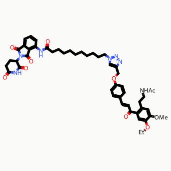 CCOc1cc(C(=O)/C=C/c2ccc(OCc3cn(CCCCCCCCCCC(=O)Nc4cccc5c4C(=O)N(C4CCC(=O)NC4=O)C5=O)nn3)cc2)c(CCNC(C)=O)cc1OC